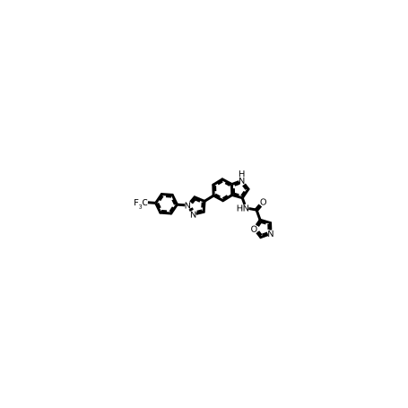 O=C(Nc1c[nH]c2ccc(-c3cnn(-c4ccc(C(F)(F)F)cc4)c3)cc12)c1cnco1